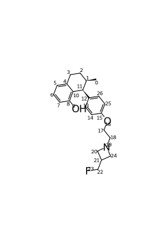 C[C@@H]1CCc2cccc(O)c2[C@@H]1c1ccc(OCCN2CC(CF)C2)cc1